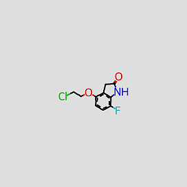 O=C1Cc2c(OCCCl)ccc(F)c2N1